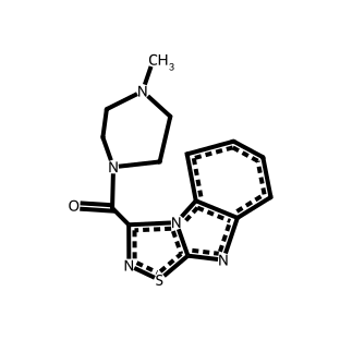 CN1CCN(C(=O)c2nsc3nc4ccccc4n23)CC1